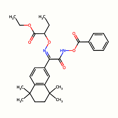 CCOC(=O)C(CC)ON=C(C(=O)NOC(=O)c1ccccc1)c1ccc2c(c1)C(C)(C)CCC2(C)C